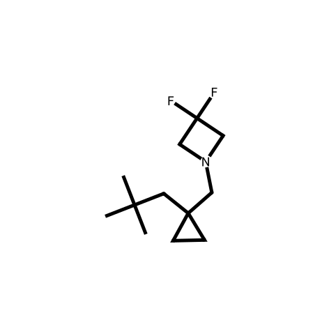 CC(C)(C)CC1(CN2CC(F)(F)C2)CC1